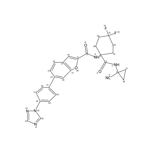 N#CC1(NC(=O)C2(NC(=O)c3cc4ccc(-c5ccc(-n6cncn6)cc5)cc4o3)CCC(F)(F)CC2)CC1